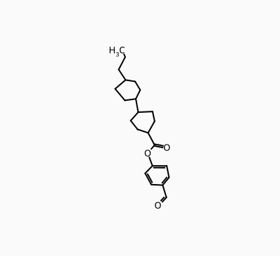 CCCC1CCC(C2CCC(C(=O)Oc3ccc(C=O)cc3)CC2)CC1